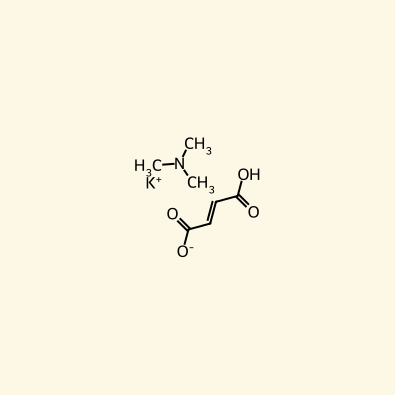 CN(C)C.O=C([O-])C=CC(=O)O.[K+]